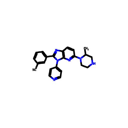 CC1CNCCN1c1ccc2nc(-c3cccc(C#N)c3)n(-c3ccncc3)c2n1